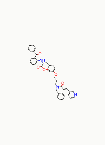 O=C(c1ccccc1)c1ccccc1NC(Cc1ccc(OCCCN(Cc2ccccc2)C(=O)C=Cc2cccnc2)cc1)C(=O)O